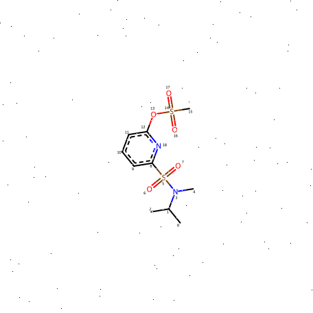 CC(C)N(C)S(=O)(=O)c1cccc(OS(C)(=O)=O)n1